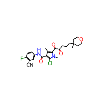 Cc1c(C(=O)Nc2ccc(F)c(C#N)c2)c(Cl)n(C)c1C(=O)C(=O)CCCC1(C)CCOCC1